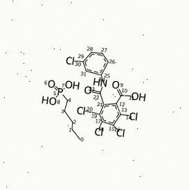 CCCCCP(=O)(O)O.O=C(O)c1c(Cl)c(Cl)c(Cl)c(Cl)c1C(=O)Nc1cccc(Cl)c1